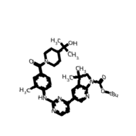 Cc1cc(C(=O)N2CCC(C(C)(C)O)CC2)ccc1Nc1nccc(-c2cnc3c(c2)C(C)(C)CN3C(=O)OC(C)(C)C)n1